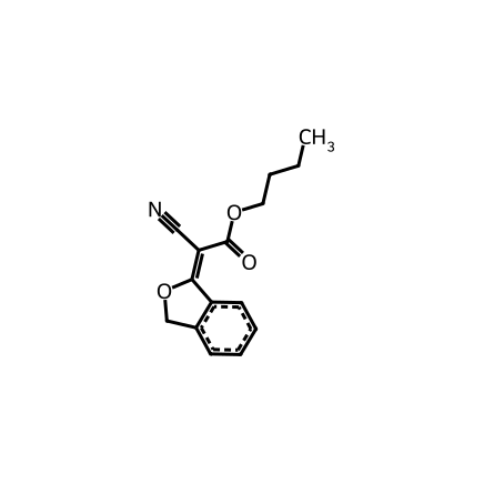 CCCCOC(=O)C(C#N)=C1OCc2ccccc21